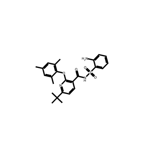 Cc1cc(C)c(Oc2nc(C(C)(C)C)ccc2C(=O)NS(=O)(=O)c2ccccc2N)c(C)c1